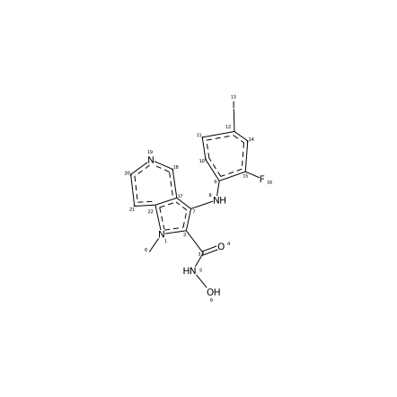 Cn1c(C(=O)NO)c(Nc2ccc(I)cc2F)c2cnccc21